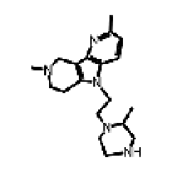 Cc1ccc2c(n1)c1c(n2CCN2CCNCC2C)CCN(C)C1